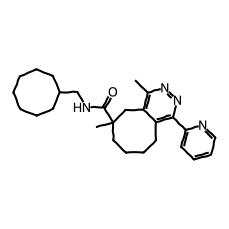 Cc1nnc(-c2ccccn2)c2c1CC(C)(C(=O)NCC1CCCCCCC1)CCCC2